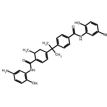 CC1CC(C(C)(C)c2ccc(C(=O)Nc3cc(N)ccc3O)cc2)=CC=C1C(=O)Nc1cc(N)ccc1O